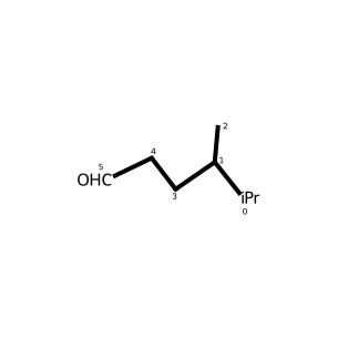 CC(C)C(C)CCC=O